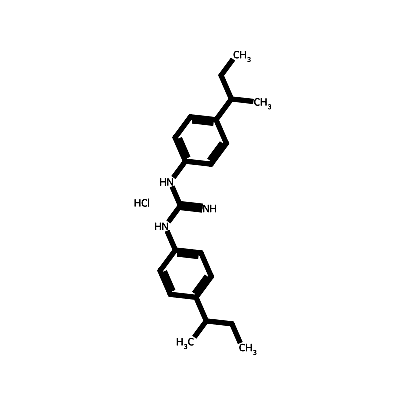 CCC(C)c1ccc(NC(=N)Nc2ccc(C(C)CC)cc2)cc1.Cl